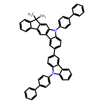 CC1(C)c2ccccc2-c2cc3c4cc(-c5ccc6c(c5)c5ccccc5n6-c5ccc(-c6ccccc6)cc5)ccc4n(-c4ccc(-c5ccccc5)cc4)c3cc21